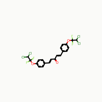 O=C(/C=C/c1ccc(OC(F)(F)C(Cl)Cl)cc1)/C=C/c1ccc(OC(F)(F)C(Cl)Cl)cc1